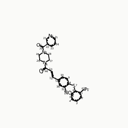 CC(C)c1ccccc1Sc1ccc(C=CC(=O)N2CCN(C(=O)c3cccnc3)CC2)cc1[N+](=O)[O-]